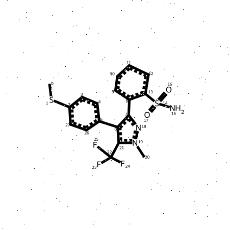 CSc1ccc(-c2c(-c3ccccc3S(N)(=O)=O)nn(C)c2C(F)(F)F)cc1